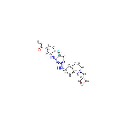 C=CC(=O)N1CCCC(Nc2nc(Nc3ccc4c(c3)CCCN(CC3COC3)C4)ncc2F)C1